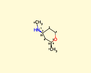 CN[C@H]1CCO[C@@H](C)C1